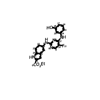 CCOC(=O)c1cc2cc(Nc3ncc(F)c(Nc4cccc(O)c4)n3)ccc2[nH]1